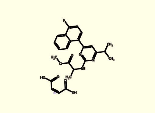 COC(=O)C(C)Nc1nc(-c2ccc(F)c3ccccc23)cc(C(C)C)n1.O=C(O)/C=C\C(=O)O